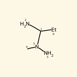 CCC(N)N(C)N